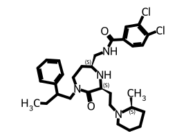 CCC(CN1CC[C@@H](CNC(=O)c2ccc(Cl)c(Cl)c2)N[C@@H](CCN2CCCC[C@@H]2C)C1=O)c1ccccc1